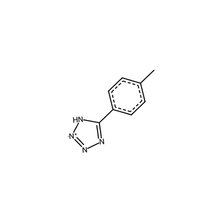 Cc1ccc(C2=NN=[N+]N2)cc1